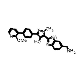 COc1ncccc1-c1ccc(-c2nn(C)c(-c3nc4ccc(CN)cc4[nH]3)c2O)cc1